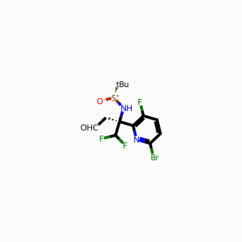 CC(C)(C)[S@@+]([O-])N[C@@](CC=O)(c1nc(Br)ccc1F)C(F)F